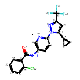 O=C(Nc1ccc(-n2nc(C(F)(F)F)cc2C2CC2)nc1)c1ccccc1Cl